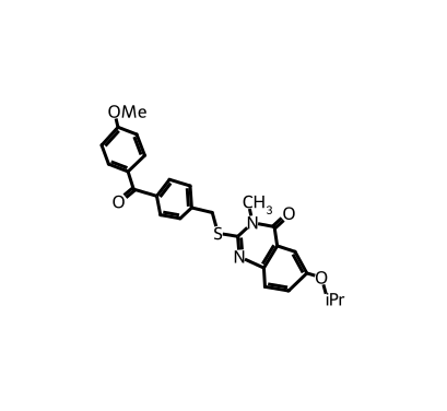 COc1ccc(C(=O)c2ccc(CSc3nc4ccc(OC(C)C)cc4c(=O)n3C)cc2)cc1